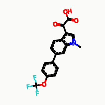 Cn1cc(C(=O)C(=O)O)c2ccc(-c3ccc(OC(F)(F)F)cc3)cc21